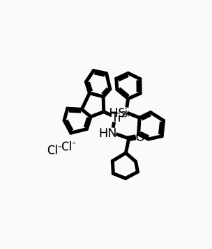 O=C([NH][Ti+2]([CH]1c2ccccc2-c2ccccc21)[SiH](c1ccccc1)c1ccccc1)C1CCCCC1.[Cl-].[Cl-]